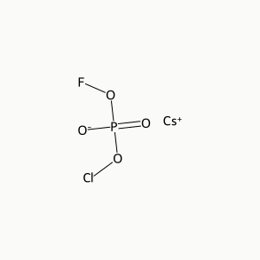 O=P([O-])(OF)OCl.[Cs+]